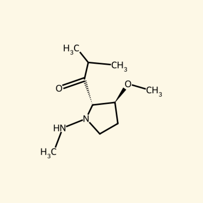 CNN1CC[C@H](OC)[C@H]1C(=O)C(C)C